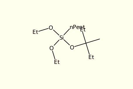 CCCCC[Si](OCC)(OCC)OC(C)(CC)CC